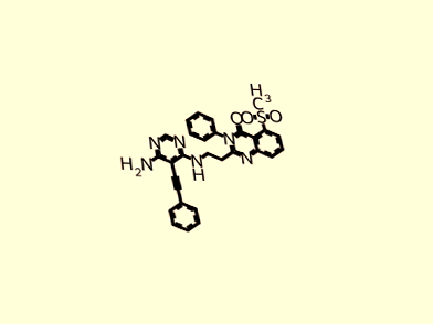 CS(=O)(=O)c1cccc2nc(CCNc3ncnc(N)c3C#Cc3ccccc3)n(-c3ccccc3)c(=O)c12